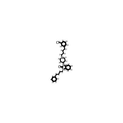 O=c1n(CCCCc2ccccc2)c2ccccc2n1C1CCN(CCCCc2cccc(Cl)c2)CC1